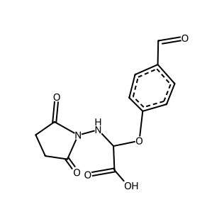 O=Cc1ccc(OC(NN2C(=O)CCC2=O)C(=O)O)cc1